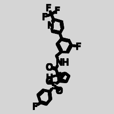 O=C(NCc1cc(F)cc(-c2ccc(C(F)(F)F)nc2)c1)[C@@H]1C2CC(C2)C1S(=O)(=O)c1ccc(F)cc1